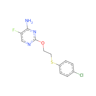 Nc1nc(OCCSc2ccc(Cl)cc2)ncc1F